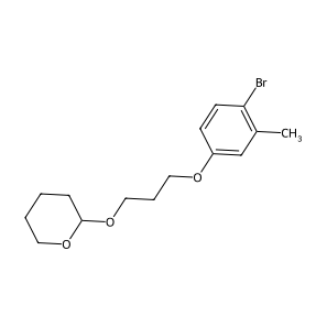 Cc1cc(OCCCOC2CCCCO2)ccc1Br